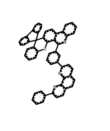 c1ccc(-c2ccc3ccc4ccc(-c5cccc(-c6nc7ccccc7c7ccc8c(c67)Oc6ccccc6C86c7ccccc7-c7ccccc76)c5)nc4c3n2)cc1